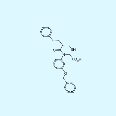 O=C(O)CN(C(=O)C(CS)CCc1ccccc1)c1cccc(OCc2ccccc2)c1